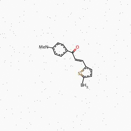 Bc1ccc(/C=C/C(=O)c2ccc(NC)cc2)s1